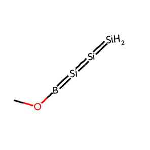 COB=[Si]=[Si]=[SiH2]